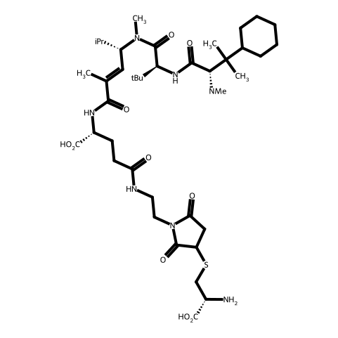 CN[C@H](C(=O)N[C@H](C(=O)N(C)[C@H](/C=C(\C)C(=O)N[C@H](CCC(=O)NCCN1C(=O)CC(SC[C@H](N)C(=O)O)C1=O)C(=O)O)C(C)C)C(C)(C)C)C(C)(C)C1CCCCC1